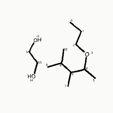 CCCOC(C)C(C)C(C)C.OCCO